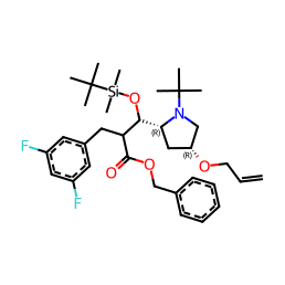 C=CCO[C@@H]1C[C@H](C(O[Si](C)(C)C(C)(C)C)C(Cc2cc(F)cc(F)c2)C(=O)OCc2ccccc2)N(C(C)(C)C)C1